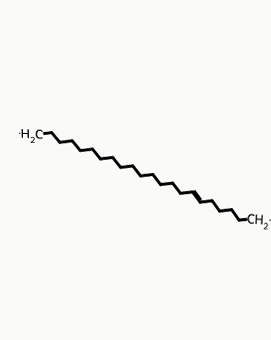 [CH2]CCCCC=CCCCCCCCCCCCCCC[CH2]